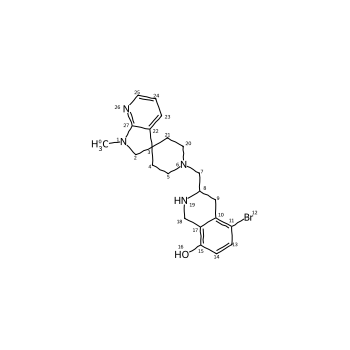 CN1CC2(CCN(CC3Cc4c(Br)ccc(O)c4CN3)CC2)c2cccnc21